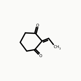 CC=C1C(=O)CCCC1=O